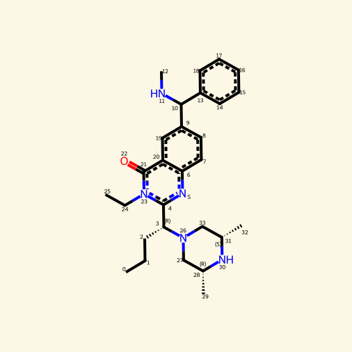 CCC[C@H](c1nc2ccc(C(NC)c3ccccc3)cc2c(=O)n1CC)N1C[C@@H](C)N[C@@H](C)C1